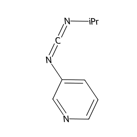 CC(C)N=C=Nc1cccnc1